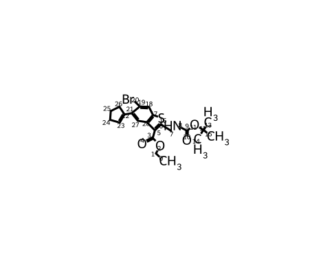 CCOC(=O)c1c(CNC(=O)OC(C)(C)C)sc2cc(Br)c(C3=CCCC3)cc12